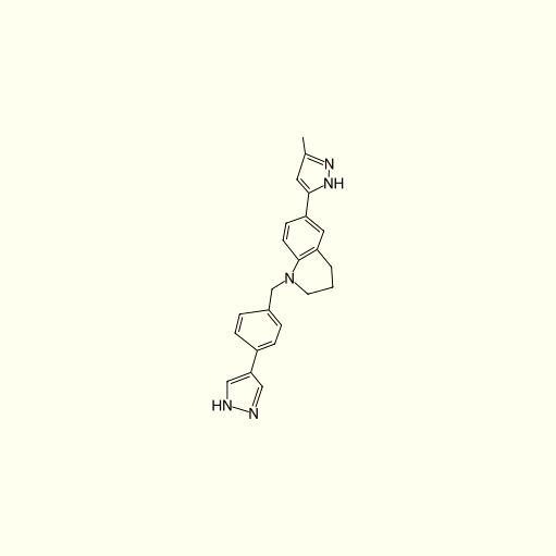 Cc1cc(-c2ccc3c(c2)CCCN3Cc2ccc(-c3cn[nH]c3)cc2)[nH]n1